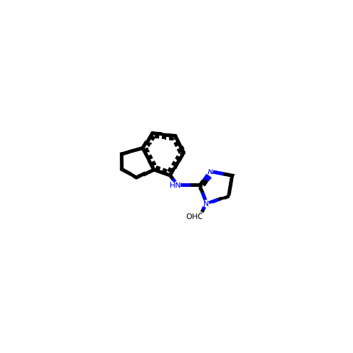 O=CN1CCN=C1Nc1cccc2c1CCC2